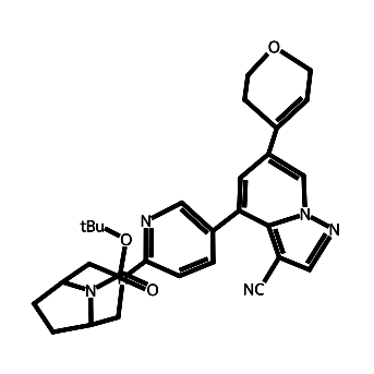 CC(C)(C)OC(=O)N1C2CCC1CN(c1ccc(-c3cc(C4=CCOCC4)cn4ncc(C#N)c34)cn1)C2